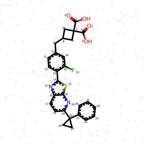 O=C(O)C1(C(=O)O)CC(Cc2ccc(-c3nc4ccc(C5(c6ccccc6)CC5)nc4s3)c(F)c2)C1